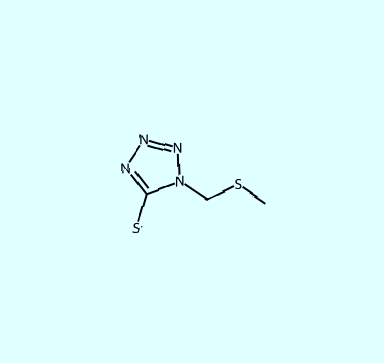 CSCn1nnnc1[S]